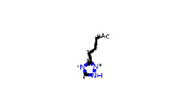 CC(=O)CCCc1nc[nH]n1